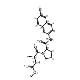 COC(=O)N[C@@H](C)C(=O)N1CCCC1C(=O)Nc1ccc2cc(Br)ccc2c1